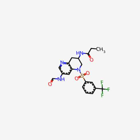 CCC(=O)NC1Cc2ncc(NC=O)cc2N(S(=O)(=O)c2cccc(C(F)(F)F)c2)C1